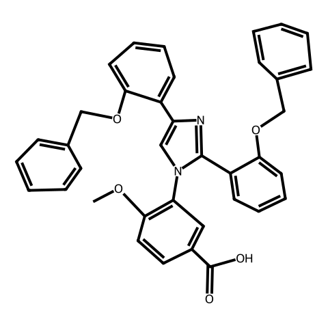 COc1ccc(C(=O)O)cc1-n1cc(-c2ccccc2OCc2ccccc2)nc1-c1ccccc1OCc1ccccc1